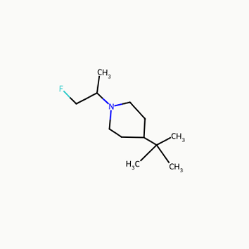 CC(CF)N1CCC(C(C)(C)C)CC1